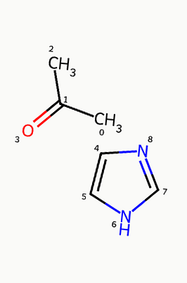 CC(C)=O.c1c[nH]cn1